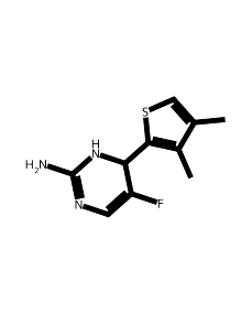 Cc1csc(C2NC(N)=NC=C2F)c1C